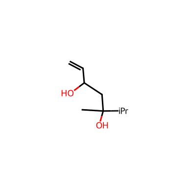 C=CC(O)CC(C)(O)C(C)C